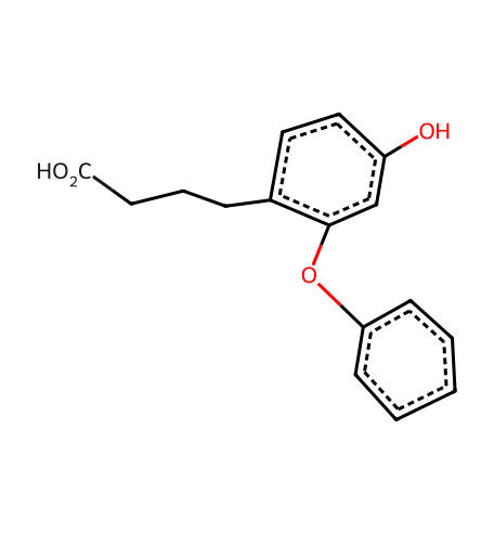 O=C(O)CCCc1ccc(O)cc1Oc1ccccc1